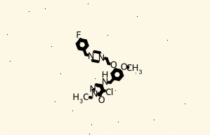 CCn1ncc(NCc2ccc(OC)c(OCCN3CCN(Cc4ccc(F)cc4)CC3)c2)c(Cl)c1=O